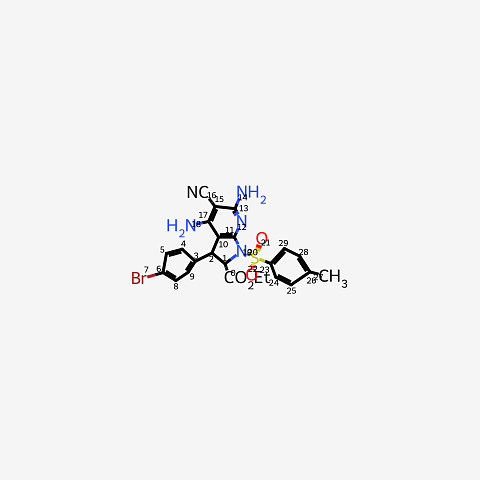 CCOC(=O)C1C(c2ccc(Br)cc2)c2c(nc(N)c(C#N)c2N)N1S(=O)(=O)c1ccc(C)cc1